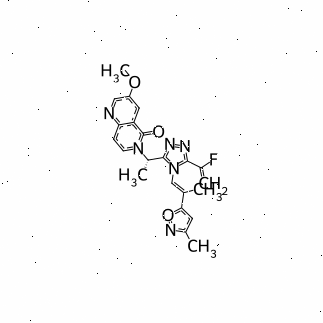 C=C(F)c1nnc([C@H](C)n2ccc3ncc(OC)cc3c2=O)n1/C=C(\C)c1cc(C)no1